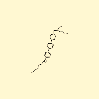 CCCCCCCOc1ccc(-c2ccc(C3CCC(CC(CC)CCCC)CC3)cc2)cc1